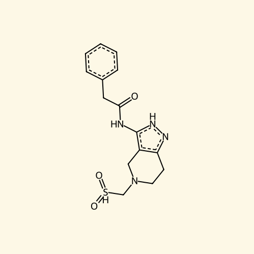 O=C(Cc1ccccc1)Nc1[nH]nc2c1CN(C[SH](=O)=O)CC2